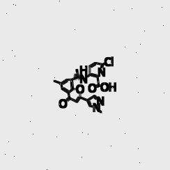 Cc1cc([C@@H](C)Nc2ccc(Cl)nc2C(=O)O)c2oc(-c3cnn(C)c3)cc(=O)c2c1